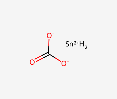 O=C([O-])[O-].[SnH2+2]